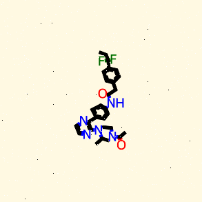 CCC(F)(F)c1ccc(CC(=O)Nc2ccc(-c3nccnc3N3CCN(C(C)=O)CC3C)cc2)cc1